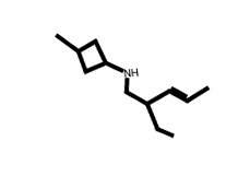 CC=CC(CC)CNC1CC(C)C1